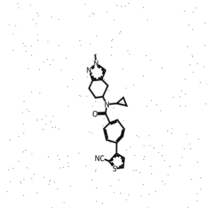 Cn1cc2c(n1)CCC(N(C(=O)C1=CC=C=C(c3ccsc3C#N)C=C1)C1CC1)C2